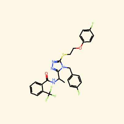 CC(NC(=O)c1ccccc1C(F)(F)F)c1nnc(SCCOc2ccc(F)cc2)n1Cc1ccc(F)cc1